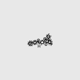 O=C(NC1CCC(n2c(=O)c3cc(F)cnc3n(C3CCSCC3)c2=O)CC1)C1CCN(c2ncccn2)CC1